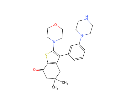 CC1(C)CC(=O)c2sc(N3CCOCC3)c(-c3cccc(N4CCNCC4)c3)c2C1